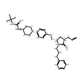 C=CC[C@@H]1C[C@@H](COc2ccc([C@H]3CC[C@H](NC(=O)OC(C)(C)C)CC3)cc2)N(CCCc2ccccc2)C1=O